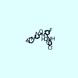 CN1CCCN(c2ccc(C(=O)Nc3ccc(F)cc3C(=O)Nc3ccc(Cl)cn3)nc2)CC1